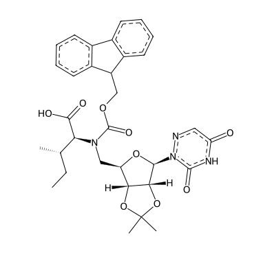 CC[C@H](C)[C@@H](C(=O)O)N(C[C@H]1O[C@@H](n2ncc(=O)[nH]c2=O)[C@@H]2OC(C)(C)O[C@@H]21)C(=O)OCC1c2ccccc2-c2ccccc21